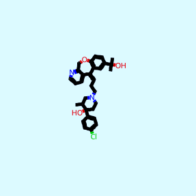 CC1CN(CCC=C2c3cc(C(C)(C)O)ccc3OCc3ncccc32)CCC1(O)c1ccc(Cl)cc1